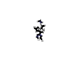 C=C(S/C=C\C)C1=NCC(C(/C=C\C)=C/CC)=C2CC(C)CN12